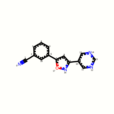 N#Cc1cccc(-c2cc(-c3cncnc3)no2)c1